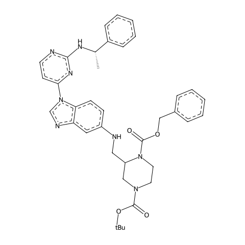 C[C@H](Nc1nccc(-n2cnc3cc(NCC4CN(C(=O)OC(C)(C)C)CCN4C(=O)OCc4ccccc4)ccc32)n1)c1ccccc1